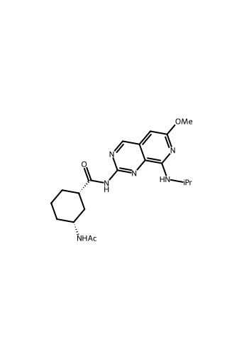 COc1cc2cnc(NC(=O)[C@H]3CCC[C@@H](NC(C)=O)C3)nc2c(NC(C)C)n1